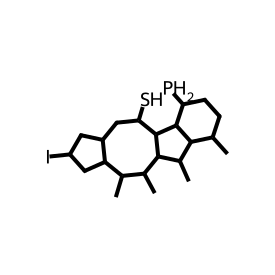 CC1CCC(P)C2C1C(C)C1C(C)C(C)C3CC(I)CC3CC(S)C12